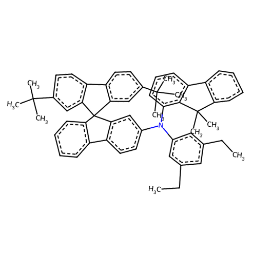 CCc1cc(CC)cc(N(c2ccc3c(c2)C2(c4ccccc4-3)c3cc(C(C)(C)C)ccc3-c3ccc(C(C)(C)C)cc32)c2cccc3c2C(C)(C)c2ccccc2-3)c1